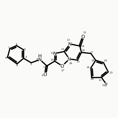 O=C(NCc1ccccc1)c1nc2nc(=O)c(Cc3ccc(F)cc3)cn2o1